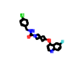 O=C(NCc1ccc(Cl)cc1)N1CC2(CC(Oc3ccnc4ccc(F)cc34)C2)C1